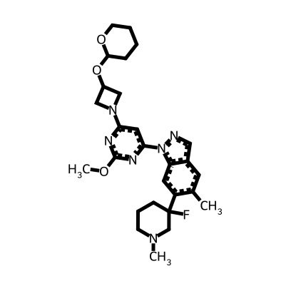 COc1nc(N2CC(OC3CCCCO3)C2)cc(-n2ncc3cc(C)c(C4(F)CCCN(C)C4)cc32)n1